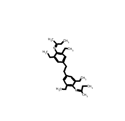 CCC(C)=Nc1c(CC)cc(CCc2cc(CC)c(N=C(C)CC)c(CC)c2)cc1CC